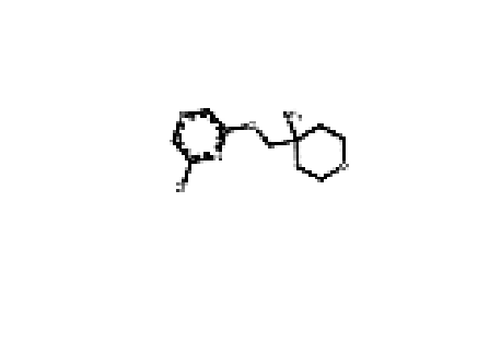 NC1(COc2cncc(Cl)n2)CCOCC1